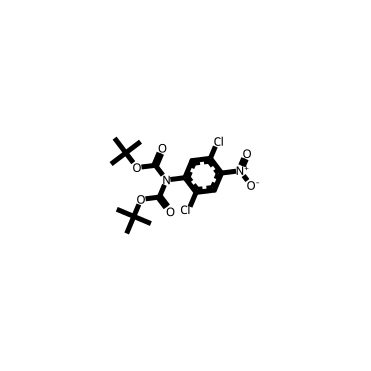 CC(C)(C)OC(=O)N(C(=O)OC(C)(C)C)c1cc(Cl)c([N+](=O)[O-])cc1Cl